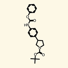 CC(C)(C)OC(=O)N1CCC(c2ccc(NC(=O)Oc3ccccc3)cc2)C1